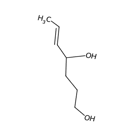 C/C=C/C(O)CCCO